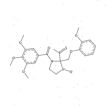 COc1ccccc1OCC1(C(C)=S)N(C(=O)c2cc(OC)c(OC)c(OC)c2)CC[S+]1[O-]